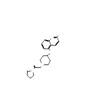 N#Cc1ccc2c(OC3CCN(CC(=O)N4CCCC4C#N)CC3)cccc2n1